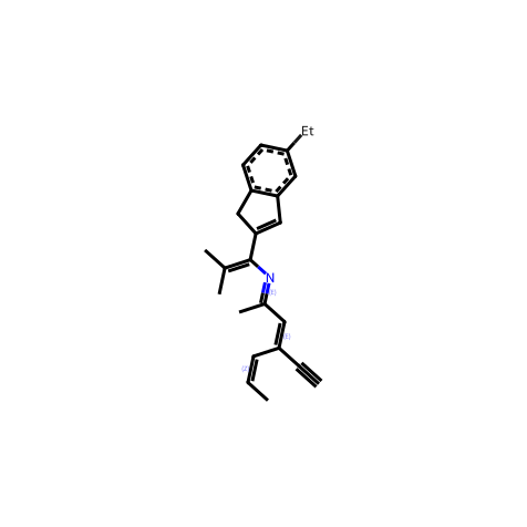 C#CC(/C=C\C)=C/C(C)=N/C(C1=Cc2cc(CC)ccc2C1)=C(C)C